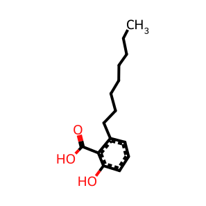 CCCCCCCCc1cccc(O)c1C(=O)O